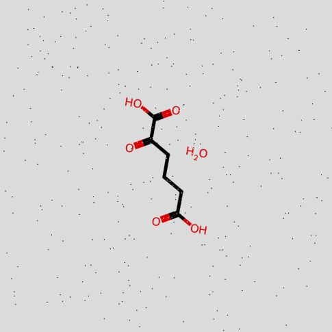 O.O=C(O)CCCC(=O)C(=O)O